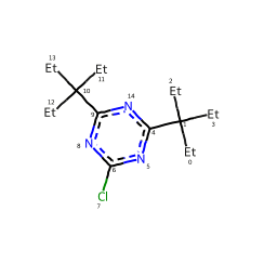 CCC(CC)(CC)c1nc(Cl)nc(C(CC)(CC)CC)n1